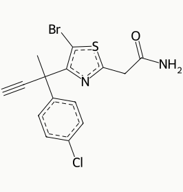 C#CC(C)(c1ccc(Cl)cc1)c1nc(CC(N)=O)sc1Br